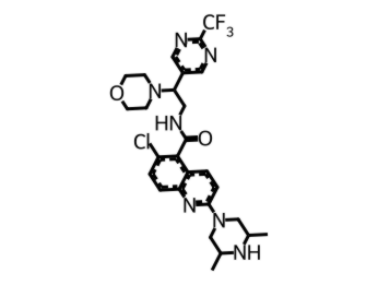 CC1CN(c2ccc3c(C(=O)NCC(c4cnc(C(F)(F)F)nc4)N4CCOCC4)c(Cl)ccc3n2)CC(C)N1